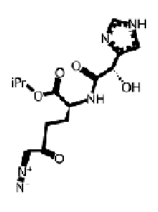 CC(C)OC(=O)[C@H](CCC(=O)C=[N+]=[N-])NC(=O)[C@@H](O)c1c[nH]cn1